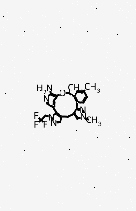 Cc1ccc2c(c1)[C@@H](C)Oc1cc(cnc1N)-c1c(cnn1CC(F)(F)F)Cc1cn(C)nc1-2